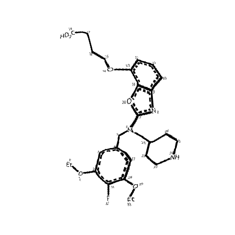 CCOc1cc(CN(c2nc3cccc(OCCCC(=O)O)c3o2)C2CCNCC2)cc(OCC)c1F